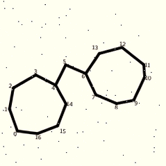 C1CCCC(CC2CCCCCCC2)CCC1